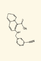 N#Cc1cccc(CNC2=C(C(=O)O)N3C=CCC=C3C=C2)c1